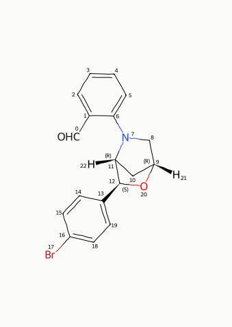 O=Cc1ccccc1N1C[C@H]2C[C@@H]1[C@H](c1ccc(Br)cc1)O2